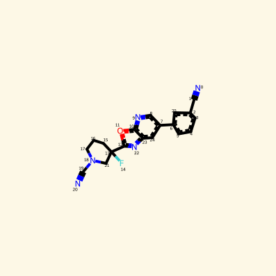 N#Cc1cccc(-c2cnc3oc(C4(F)CCCN(C#N)C4)nc3c2)c1